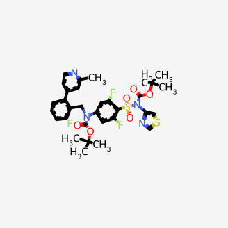 Cc1cc(-c2cccc(F)c2CN(C(=O)OC(C)(C)C)c2cc(F)c(S(=O)(=O)N(C(=O)OC(C)(C)C)c3cscn3)c(F)c2)ccn1